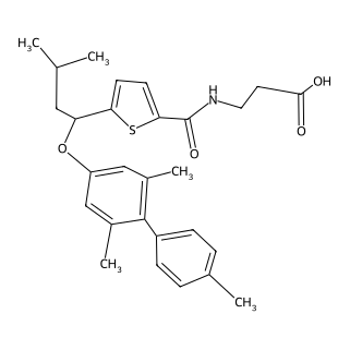 Cc1ccc(-c2c(C)cc(OC(CC(C)C)c3ccc(C(=O)NCCC(=O)O)s3)cc2C)cc1